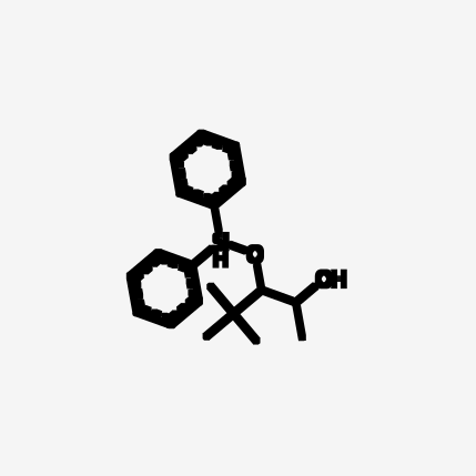 CC(O)C(O[SiH](c1ccccc1)c1ccccc1)C(C)(C)C